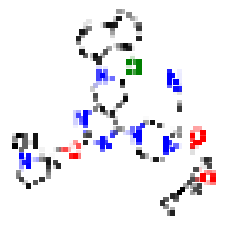 CN1CCC[C@H]1COc1nc2c(c(N3CCN(C(=O)[C@@H]4O[C@H]4C4CC4)[C@@H](CC#N)C3)n1)CCN(c1cccc3cccc(Cl)c13)C2